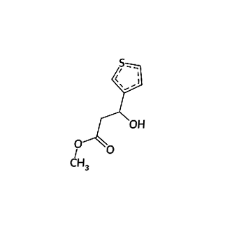 COC(=O)CC(O)c1ccsc1